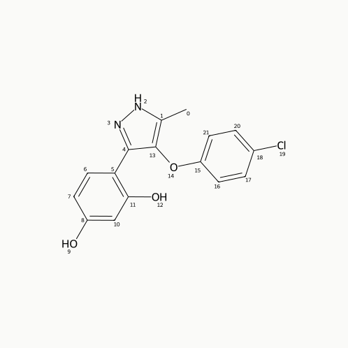 Cc1[nH]nc(-c2ccc(O)cc2O)c1Oc1ccc(Cl)cc1